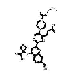 CCOC(=O)N1CCN(C(=O)C(CCC(=O)O)NC(=O)c2cc(OC3(C(=O)O)CCC3)c3ccc(CC)cc3n2)CC1